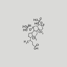 CC(CCC(=O)O)C1CCC2C3C(CCC12C)C1(C)CCC(F)(OP(=O)(O)O)CC1CC3(F)OP(=O)(O)O